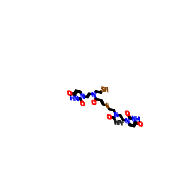 CCCC(=O)N(CCS/C=C/C(=O)N(CCS)CCn1ccc(=O)[nH]c1=O)CCn1ccc(=O)[nH]c1=O